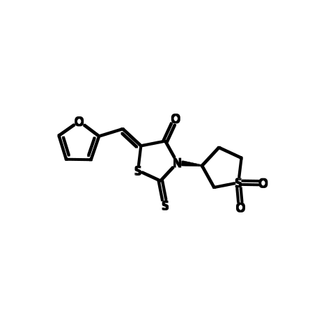 O=C1/C(=C/c2ccco2)SC(=S)N1[C@H]1CCS(=O)(=O)C1